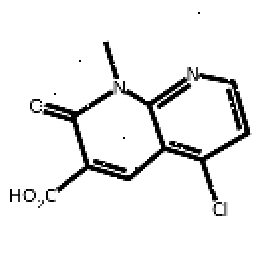 Cn1c(=O)c(C(=O)O)cc2c(Cl)ccnc21